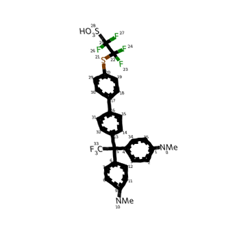 CNc1ccc(C(c2ccc(NC)cc2)(c2ccc(-c3ccc(SC(F)(F)C(F)(F)S(=O)(=O)O)cc3)cc2)C(F)(F)F)cc1